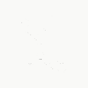 COc1cc(CC(=O)N2C[C@@H](Oc3ccccc3)CC2CN2CCC(CC(=O)O)CC2)ccc1NC(=O)Nc1ccccc1Cl